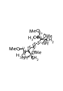 C=S(CCC)(OC)=C(SSSSC(N(C)COC)=S(=C)(CCC)OC)N(C)COC